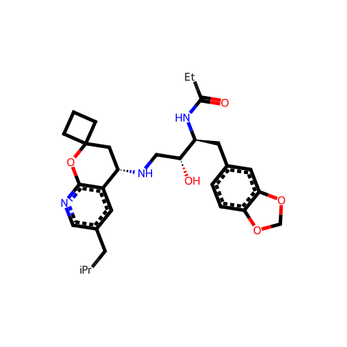 CCC(=O)N[C@@H](Cc1ccc2c(c1)OCO2)[C@H](O)CN[C@H]1CC2(CCC2)Oc2ncc(CC(C)C)cc21